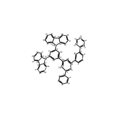 c1ccc(-c2nc(-c3cccc(-c4ncncn4)c3)cc(-c3cc(-n4c5ccccc5c5ccccc54)cc(-n4c5ccccc5c5ccccc54)c3)n2)cc1